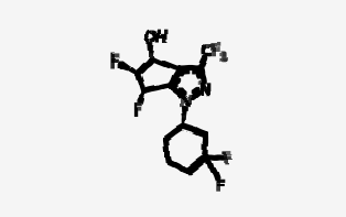 O[C@H]1c2c(C(F)(F)F)nn([C@@H]3CCCC(F)(F)C3)c2[C@@H](F)[C@H]1F